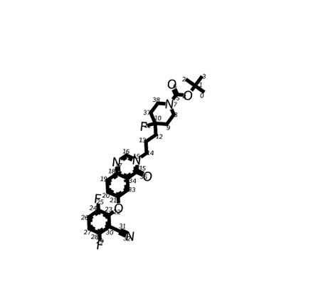 CC(C)(C)OC(=O)N1CCC(F)(CCCn2cnc3ccc(Oc4c(F)ccc(F)c4C#N)cc3c2=O)CC1